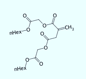 C=C(CC(=O)OCC(=O)OCCCCCC)C(=O)OCC(=O)OCCCCCC